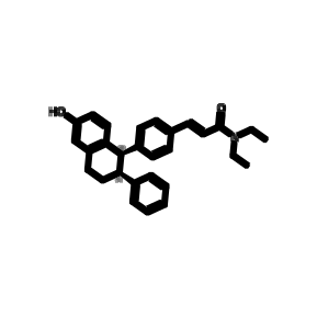 CCN(CC)C(=O)C=Cc1ccc([C@@H]2c3ccc(O)cc3CC[C@@H]2c2ccccc2)cc1